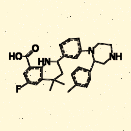 Cc1ccc(C2CNCCN2c2cccc(C3CC(C)(C)c4cc(F)cc(C(=O)O)c4N3)c2)cc1